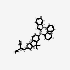 CC1(C)c2cc(N(c3ccccc3)c3cc4ccccc4n3-c3ccccc3)ccc2-c2sc(C=C(C#N)C#N)cc21